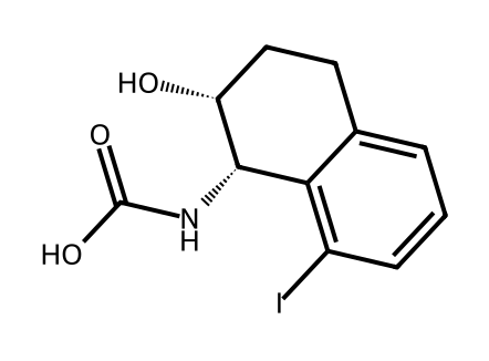 O=C(O)N[C@H]1c2c(I)cccc2CC[C@H]1O